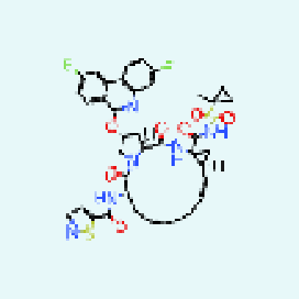 CC1(S(=O)(=O)NC(=O)[C@@]23C[C@H]2/C=C\CCCCC[C@H](NC(=O)c2ccns2)C(=O)N2C[C@H](Oc4nc5cc(F)ccc5c5cc(F)ccc45)C[C@H]2C(=O)N3)CC1